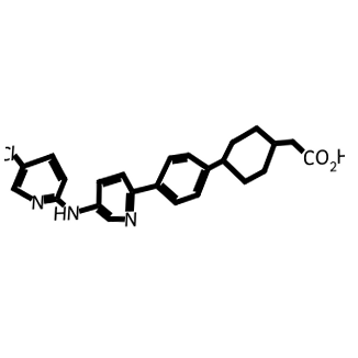 O=C(O)CC1CCC(c2ccc(-c3ccc(Nc4ccc(Cl)cn4)cn3)cc2)CC1